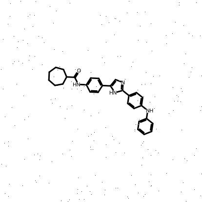 O=C(Nc1ccc(-c2cnc(-c3ccc(Nc4ccccc4)cc3)[nH]2)cc1)C1CCCCCC1